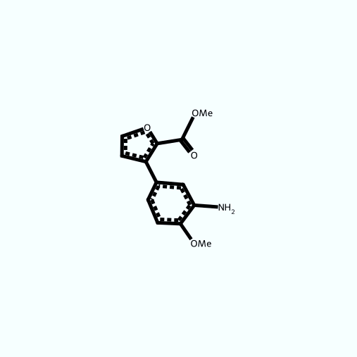 COC(=O)c1occc1-c1ccc(OC)c(N)c1